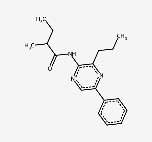 CCCc1nc(-c2ccccc2)cnc1NC(=O)C(C)CC